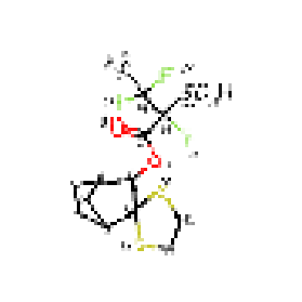 O=C(OC1C2CCC(C2)C12SCCS2)C(F)(C(F)(F)C(F)(F)F)S(=O)(=O)O